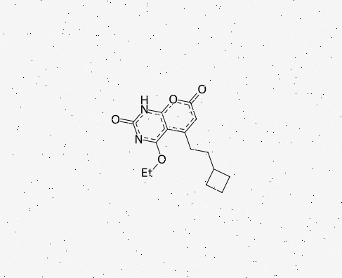 CCOc1nc(=O)[nH]c2oc(=O)cc(CCC3CCC3)c12